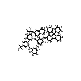 CC(C)(C)c1ccc2c(c1)Cc1ccccc1Sc1ccc(N(c3ccc4c(c3)C(c3ccccc3)(c3ccccc3)c3ccccc3-4)c3cccc4ccccc34)cc1Cc1cc(C(C)(C)C)ccc1-2